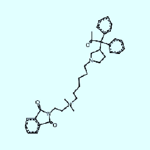 CC(=O)C(c1ccccc1)(c1ccccc1)C1CCN(CCCCCC[N+](C)(C)CCN2C(=O)c3ccccc3C2=O)C1